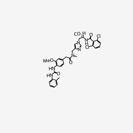 COc1cc(CC(=O)N(C)Cc2cn(CC(NC(=O)c3c(Cl)cccc3Cl)C(=O)O)cn2)ccc1NC(=O)Nc1ccccc1C